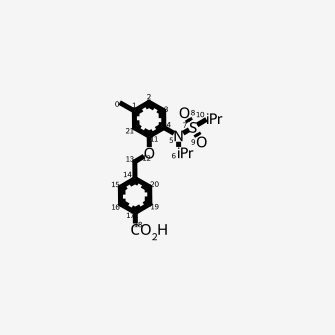 Cc1ccc(N(C(C)C)S(=O)(=O)C(C)C)c(OCc2ccc(C(=O)O)cc2)c1